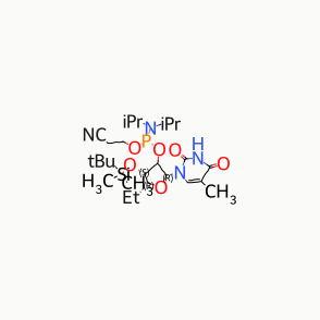 CC[C@H]1O[C@@H](n2cc(C)c(=O)[nH]c2=O)C(OP(OCCC#N)N(C(C)C)C(C)C)[C@H]1O[Si](C)(C)C(C)(C)C